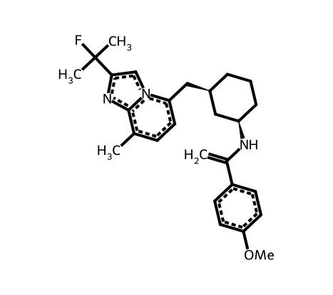 C=C(N[C@@H]1CCC[C@H](Cc2ccc(C)c3nc(C(C)(C)F)cn23)C1)c1ccc(OC)cc1